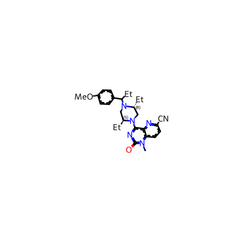 CCC(c1ccc(OC)cc1)N1C[C@H](CC)N(c2nc(=O)n(C)c3ccc(C#N)nc23)C[C@H]1CC